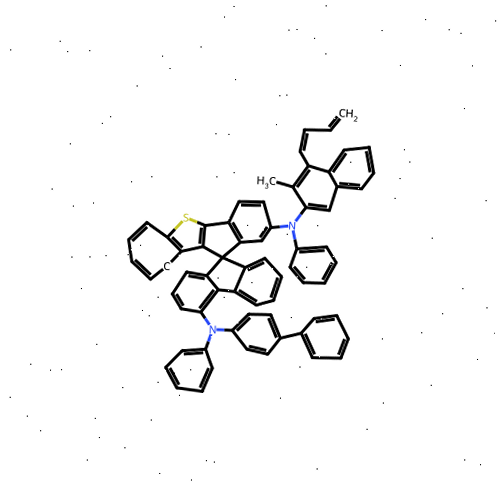 C=C/C=C\c1c(C)c(N(c2ccccc2)c2ccc3c(c2)C2(c4ccccc4-c4c(N(c5ccccc5)c5ccc(-c6ccccc6)cc5)cccc42)c2c-3sc3c2CC=CC=C3)cc2ccccc12